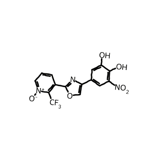 O=[N+]([O-])c1cc(-c2coc(-c3ccc[n+]([O-])c3C(F)(F)F)n2)cc(O)c1O